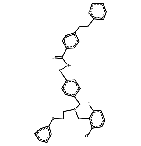 O=C(NSc1ccc(CN(CCSc2ccccc2)Cc2c(F)cccc2Cl)cc1)c1ccc(CCc2ccccn2)cc1